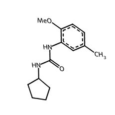 COc1ccc(C)cc1NC(=O)NC1CCCC1